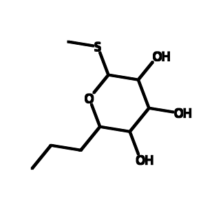 CCCC1OC(SC)C(O)C(O)C1O